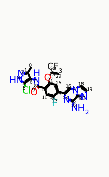 Cc1n[nH]c(Cl)c1NC(=O)c1cc(F)c(-c2cn3ccnc3c(N)n2)cc1O[C@@H](C)C(F)(F)F